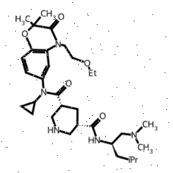 CCOCCN1C(=O)C(C)(C)Oc2ccc(N(C(=O)[C@H]3CNC[C@@H](C(=O)N[C@H](CC(C)C)CN(C)C)C3)C3CC3)cc21